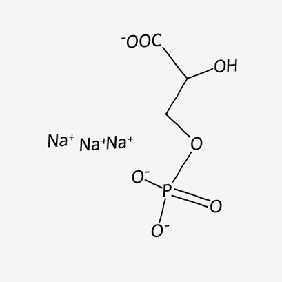 O=C([O-])C(O)COP(=O)([O-])[O-].[Na+].[Na+].[Na+]